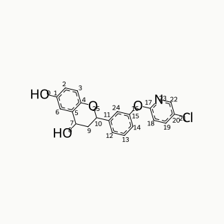 Oc1ccc2c(c1)C(O)CC(c1cccc(Oc3ccc(Cl)cn3)c1)O2